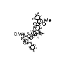 CNC(=O)c1c(-c2ccc(C)cc2)oc2nc(N(CCC[C@H](COC)C(=O)N3C(=O)OC[C@@H]3Cc3ccccc3)S(C)(=O)=O)c(C3CC3)cc12